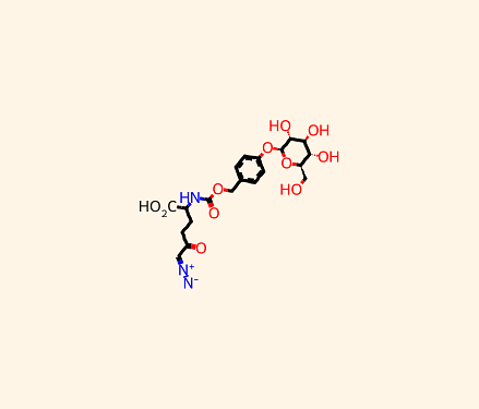 [N-]=[N+]=CC(=O)CCC(NC(=O)OCc1ccc(O[C@@H]2O[C@H](CO)[C@@H](O)[C@H](O)[C@H]2O)cc1)C(=O)O